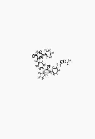 O=C(O)CCc1cccc(NC(=O)C(c2ccc(CN3N=C(c4ccccc4)OCC3=O)cc2)C2CCCC2)c1